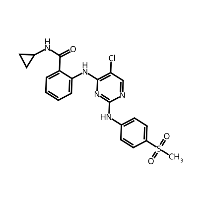 CS(=O)(=O)c1ccc(Nc2ncc(Cl)c(Nc3ccccc3C(=O)NC3CC3)n2)cc1